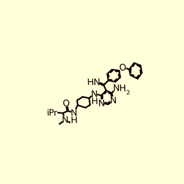 CC(C)C(C(=O)NC1CCC(Nc2ncnc(N)c2C(=N)c2ccc(Oc3ccccc3)cc2)CC1)N(C)C